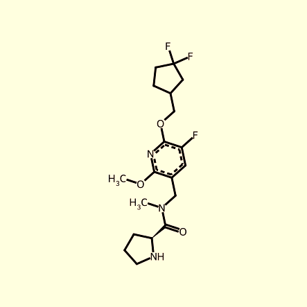 COc1nc(OCC2CCC(F)(F)C2)c(F)cc1CN(C)C(=O)[C@@H]1CCCN1